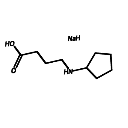 O=C(O)CCCNC1CCCC1.[NaH]